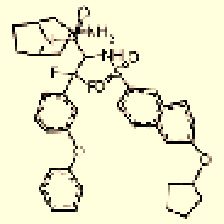 NC1CC2CCC(C1)N2C(=O)C(NS(=O)(=O)c1ccc2cc(OC3CCCC3)ccc2c1)C(F)(F)c1cccc(Oc2ccccc2)c1